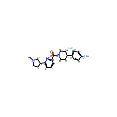 CN1CCC(c2cccc(C(=O)N3CCC(c4ccc(F)cc4F)CC3)n2)C1